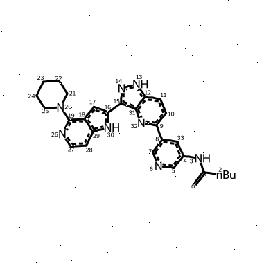 C=C(CCCC)Nc1cncc(-c2ccc3[nH]nc(-c4cc5c(N6CCCCC6)nccc5[nH]4)c3n2)c1